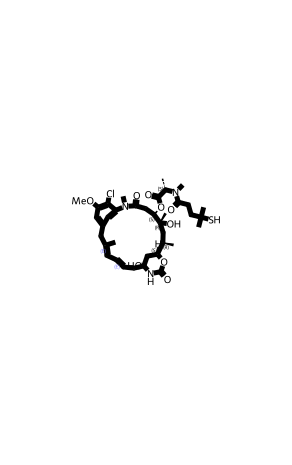 COc1cc2cc(c1Cl)N(C)C(=O)C[C@H](OC(=O)[C@H](C)N(C)C(=O)CCC(C)(C)S)[C@](C)(O)C[C@@H](C)[C@@H]1C[C@](O)(C/C=C/C=C(\C)C2)NC(=O)O1